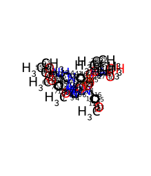 COc1ccc(CN(Cc2ccc(OC)cc2)S(=O)(=O)c2c(S(=O)(=O)C[C@@H](CNC(=O)O)O[Si](C)(C)C(C)(C)C)ccc(N3CCC(CNC(=O)OC(C)(C)C)CC3)c2-c2nnn(Cc3ccc(OC)cc3)n2)cc1